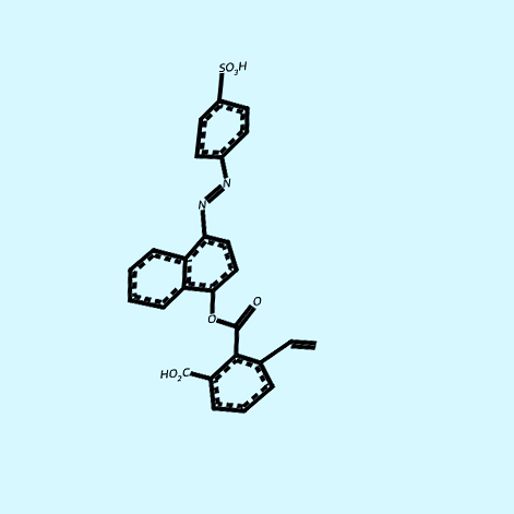 C=Cc1cccc(C(=O)O)c1C(=O)Oc1ccc(N=Nc2ccc(S(=O)(=O)O)cc2)c2ccccc12